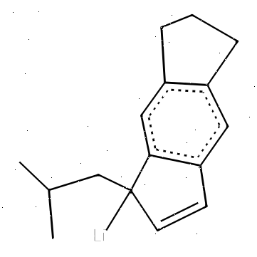 [Li][C]1(CC(C)C)C=Cc2cc3c(cc21)CCC3